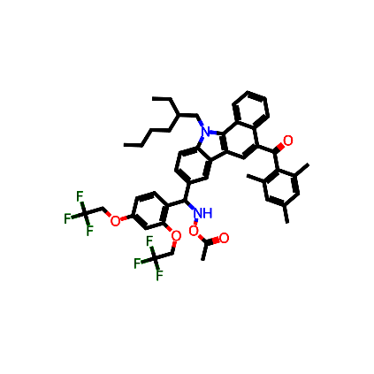 CCCCC(CC)Cn1c2ccc(C(NOC(C)=O)c3ccc(OCC(F)(F)F)cc3OCC(F)(F)F)cc2c2cc(C(=O)c3c(C)cc(C)cc3C)c3ccccc3c21